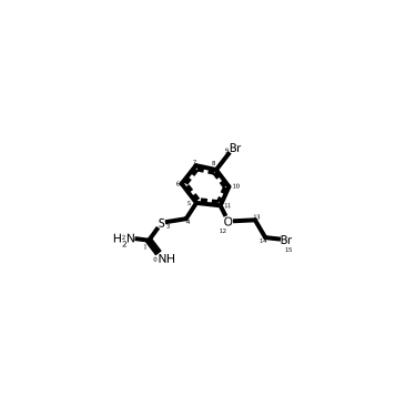 N=C(N)SCc1ccc(Br)cc1OCCBr